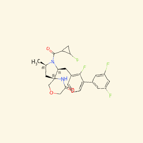 C[C@@H]1C[C@@]2(COCC(=O)N2)[C@H](Cc2cccc(-c3cc(F)cc(F)c3)c2F)N1C(=O)C1CC1F